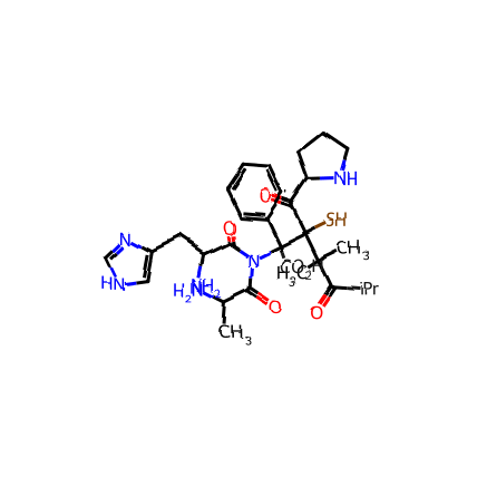 CC(C)C(=O)C(C)(C)C(S)(C(=O)C1CCCN1)C(C(=O)O)(c1[c]cccc1)N(C(=O)C(C)N)C(=O)C(N)Cc1c[nH]cn1